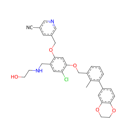 Cc1c(COc2cc(OCc3cncc(C#N)c3)c(CNCCO)cc2Cl)cccc1-c1ccc2c(c1)OCCO2